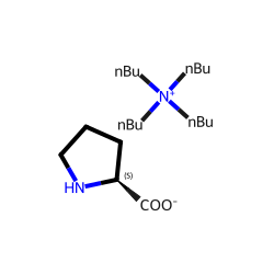 CCCC[N+](CCCC)(CCCC)CCCC.O=C([O-])[C@@H]1CCCN1